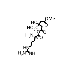 COC(=O)CC(O)(CC(=O)OC(=O)[C@@H](N)CCCNC(=N)N)C(=O)O